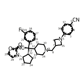 N#Cc1ccc(N2CC(CN3CCC(C(C#N)(c4cccc(F)c4)[C@H]4CCC[C@@H]4n4ccoc4=O)CC3)C2)cc1